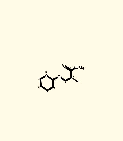 COC(=O)[C@@H](C)COC1CCCCO1